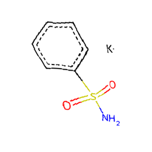 NS(=O)(=O)c1ccccc1.[K]